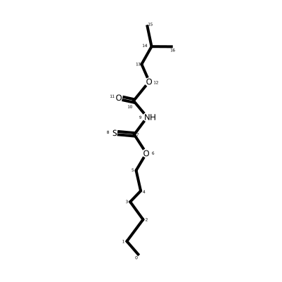 CCCCCCOC(=S)NC(=O)OCC(C)C